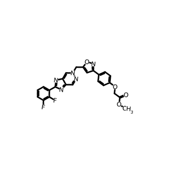 COC(=O)COc1ccc(-c2cc(Cn3cc4nc(-c5cccc(F)c5F)nc-4cn3)on2)cc1